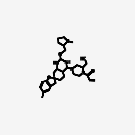 C=CC(=O)N1CCN(C2NC(OCC3CCCN3C)NC3C[C@@]4(CCC32)Cc2cc(C)ccc2O4)CC1CC#N